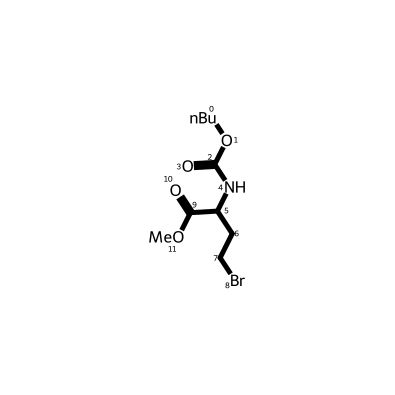 CCCCOC(=O)NC(CCBr)C(=O)OC